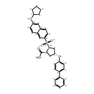 O=C(O)[C@@H]1C[C@@H](Oc2ccc(-c3ccccc3)cc2)CN1S(=O)(=O)c1ccc2cc(OC3CCCC3)ccc2c1